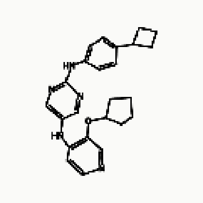 c1cc(Nc2cnc(Nc3ccc(C4CCC4)cc3)nc2)c(OC2CCCC2)cn1